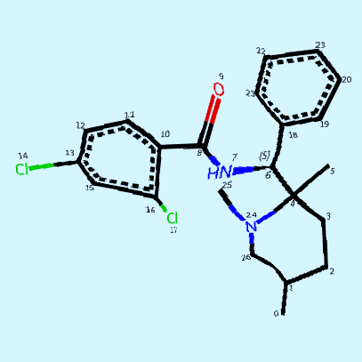 CC1CCC(C)([C@@H](NC(=O)c2ccc(Cl)cc2Cl)c2ccccc2)N(C)C1